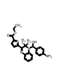 CCOC(=O)c1ccc(C2=Nc3ccccc3N(C(O)c3ccc(N)cc3)C2(C)C)s1